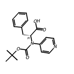 CC(C)(C)OC(=O)N(c1ccncc1)[C@H](Cc1ccccc1)C(=O)O